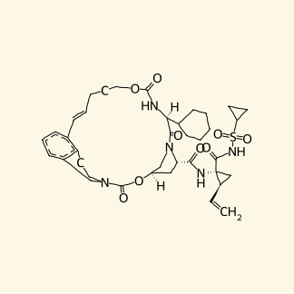 C=C[C@@H]1C[C@]1(NC(=O)[C@@H]1C[C@@H]2CN1C(=O)[C@H](C1CCCCC1)NC(=O)OCCC/C=C/c1cccc3c1CCN(C3)C(=O)O2)C(=O)NS(=O)(=O)C1CC1